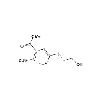 COC(=O)c1cc(SCCO)ccc1[N+](=O)[O-]